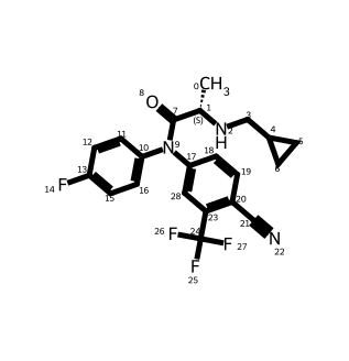 C[C@H](NCC1CC1)C(=O)N(c1ccc(F)cc1)c1ccc(C#N)c(C(F)(F)F)c1